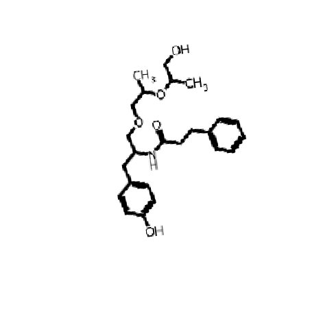 CC(CO)OC(C)COCC(Cc1ccc(O)cc1)NC(=O)CCc1ccccc1